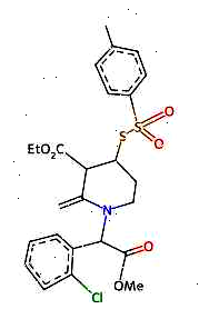 C=C1C(C(=O)OCC)C(SS(=O)(=O)c2ccc(C)cc2)CCN1C(C(=O)OC)c1ccccc1Cl